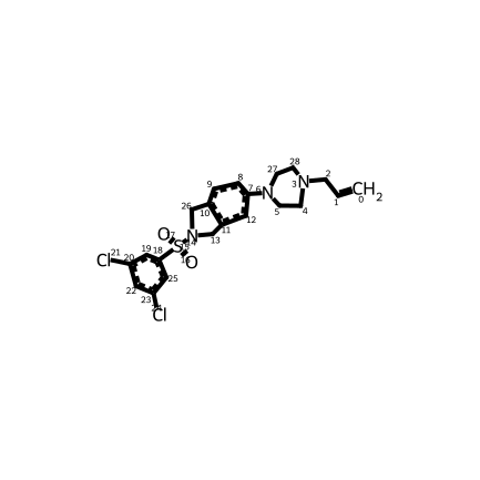 C=CCN1CCN(c2ccc3c(c2)CN(S(=O)(=O)c2cc(Cl)cc(Cl)c2)C3)CC1